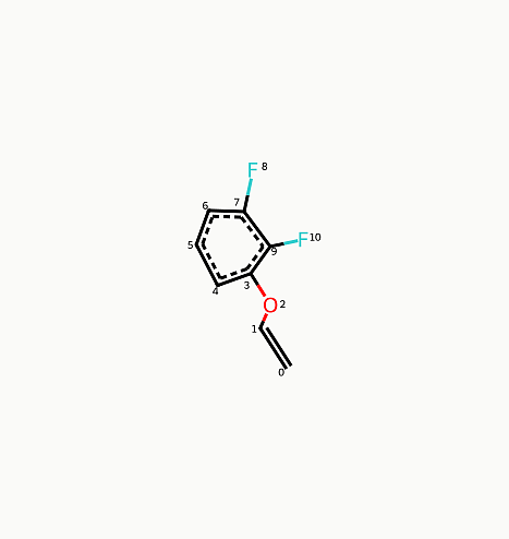 C=COc1cccc(F)c1F